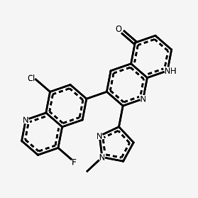 Cn1ccc(-c2nc3[nH]ccc(=O)c3cc2-c2cc(Cl)c3nccc(F)c3c2)n1